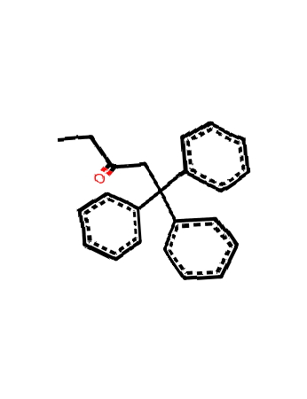 CCC(=O)CC(c1ccccc1)(c1ccccc1)c1ccccc1